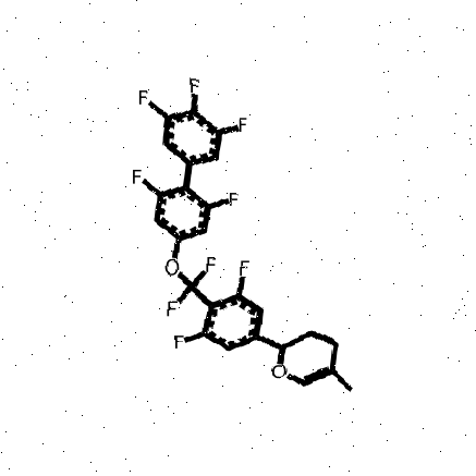 CC1=COC(c2cc(F)c(C(F)(F)Oc3cc(F)c(-c4cc(F)c(F)c(F)c4)c(F)c3)c(F)c2)CC1